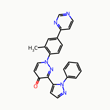 Cc1cc(-c2ccncn2)ccc1-n1ccc(=O)c(-c2ccnn2-c2ccccc2)n1